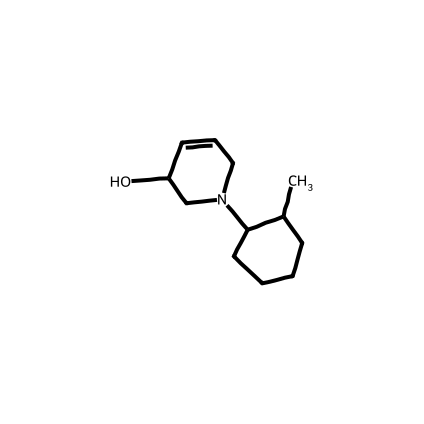 CC1CCCCC1N1CC=CC(O)C1